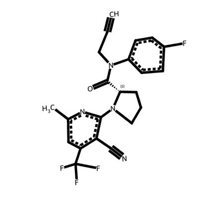 C#CCN(C(=O)[C@@H]1CCCN1c1nc(C)cc(C(F)(F)F)c1C#N)c1ccc(F)cc1